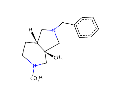 C[C@]12CN(Cc3ccccc3)C[C@H]1CCN(C(=O)O)C2